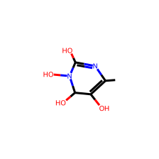 CC1=C(O)C(O)N(O)C(O)=N1